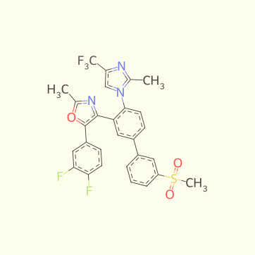 Cc1nc(-c2cc(-c3cccc(S(C)(=O)=O)c3)ccc2-n2cc(C(F)(F)F)nc2C)c(-c2ccc(F)c(F)c2)o1